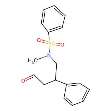 CN(CC(CC=O)c1ccccc1)S(=O)(=O)c1ccccc1